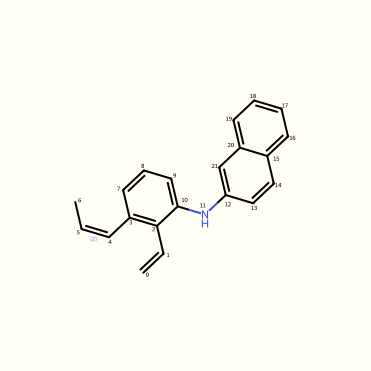 C=Cc1c(/C=C\C)cccc1Nc1ccc2ccccc2c1